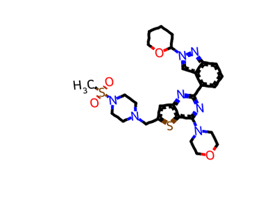 CS(=O)(=O)N1CCN(Cc2cc3nc(-c4cccc5nn(C6CCCCO6)cc45)nc(N4CCOCC4)c3s2)CC1